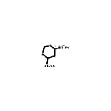 CCCCCCCCCCC1CCCC(CCCCCCCCCC)C1